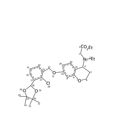 CCOC(=O)CN(CC)C1CCOc2cc(OCc3cccc(C4OC(C)(C)C(C)(C)O4)c3Cl)ccc21